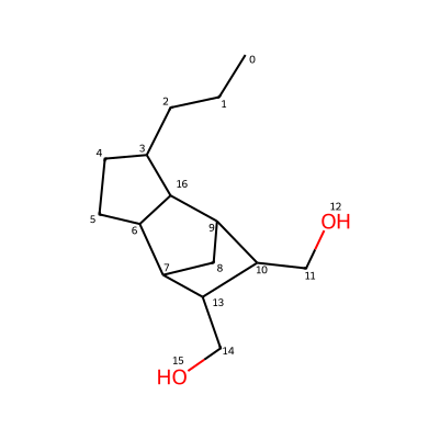 CCCC1CCC2C3CC(C(CO)C3CO)C12